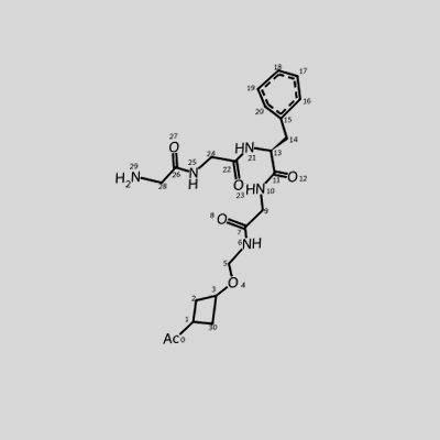 CC(=O)C1CC(OCNC(=O)CNC(=O)[C@H](Cc2ccccc2)NC(=O)CNC(=O)CN)C1